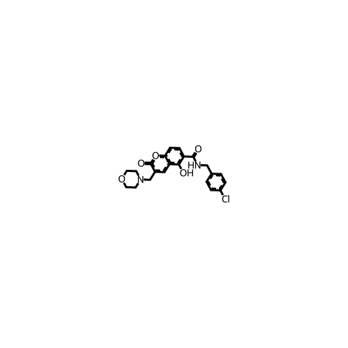 O=C(NCc1ccc(Cl)cc1)c1ccc2oc(=O)c(CN3CCOCC3)cc2c1O